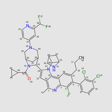 Cc1nc2c(F)c(-c3cccc(Cl)c3Cl)c(CCC#N)cc2c2c1cc(C1C3CC(CN(c4ccnc(C(F)F)c4)C3)N1C(=O)C1CC1)n2C1C2CNC1C2